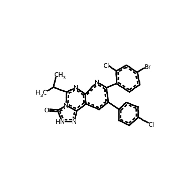 CC(C)c1nc2nc(-c3ccc(Br)cc3Cl)c(-c3ccc(Cl)cc3)cc2c2n[nH]c(=O)n12